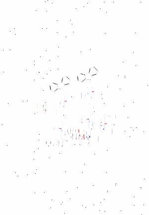 CN(CCN(CCN(C)C(=O)OC(C)(C)C)C(=O)CCOCCNC(=O)OCC1c2ccccc2-c2ccccc21)C(=O)OC(C)(C)C.CNCCN(CCNC)C(=O)CCOCCNC(=O)OCC1c2ccccc2-c2ccccc21.O=C(O)C(F)(F)F